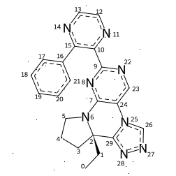 CC[C@@]12CCCN1c1nc(-c3nccnc3-c3ccccc3)ncc1-n1cnnc12